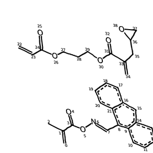 C=C(C)C(=O)ON=Cc1c2ccccc2cc2ccccc12.C=CC(=O)OCCCOC(=O)C(=C)CC1CO1